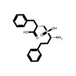 N[C@H](CCc1ccccc1)P(=O)(O)C[C@@H](Cc1ccccc1)C(=O)O